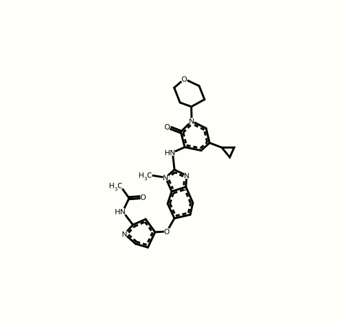 CC(=O)Nc1cc(Oc2ccc3nc(Nc4cc(C5CC5)cn(C5CCOCC5)c4=O)n(C)c3c2)ccn1